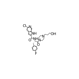 O=C(N[C@@H](Cc1ccc(F)cc1)C(=O)N1CCN(CCCO)CC1)c1cc2cc(Cl)ncc2[nH]1